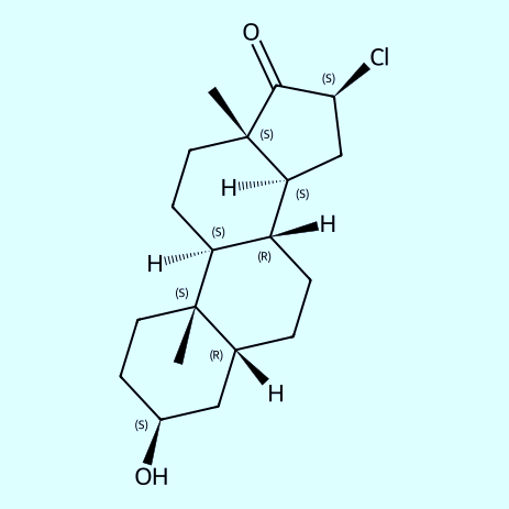 C[C@]12CC[C@H](O)C[C@H]1CC[C@@H]1[C@@H]2CC[C@]2(C)C(=O)[C@@H](Cl)C[C@@H]12